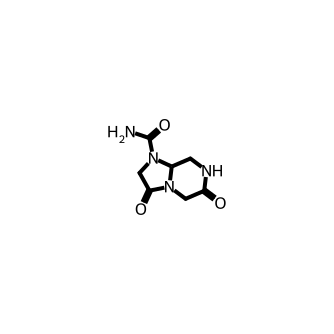 NC(=O)N1CC(=O)N2CC(=O)NCC12